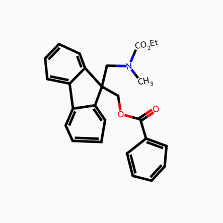 CCOC(=O)N(C)CC1(COC(=O)c2ccccc2)c2ccccc2-c2ccccc21